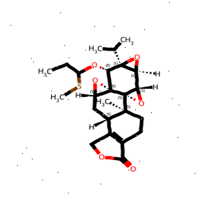 CCC(O[C@@H]1[C@@]2(C(C)C)O[C@H]2[C@@H]2O[C@]23[C@]12O[C@H]2C[C@H]1C2=C(CC[C@@]13C)C(=O)OC2)SC